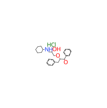 Cl.O=C(c1ccccc1)C(Cc1ccccc1)OCC(O)CNC1CCCCC1